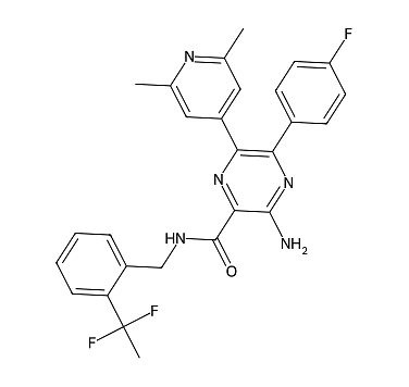 Cc1cc(-c2nc(C(=O)NCc3ccccc3C(C)(F)F)c(N)nc2-c2ccc(F)cc2)cc(C)n1